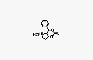 Cl.O=C(Cl)OC(c1ccccc1)C1CCCN1